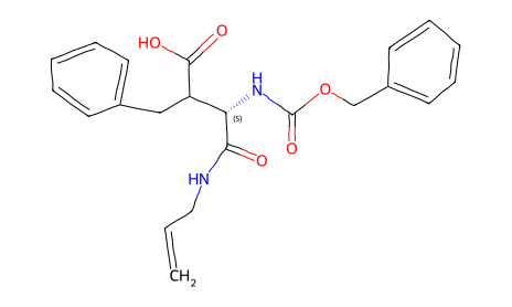 C=CCNC(=O)[C@@H](NC(=O)OCc1ccccc1)C(Cc1ccccc1)C(=O)O